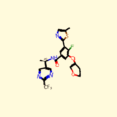 Cc1cnc(-c2cc(C(=O)N[C@H](C)c3cnc(C(F)(F)F)nc3)cc(OC3CCOC3)c2F)s1